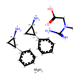 CN(CC(=O)O)C(=N)N.N[C@@H]1C[C@H]1c1ccccc1.N[C@@H]1C[C@H]1c1ccccc1.[MgH2]